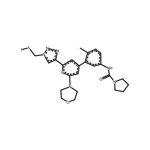 Cc1ccc(NC(=O)N2CCCC2)cc1-c1cc(-c2cn(CSI)nn2)nc(N2CCOCC2)c1